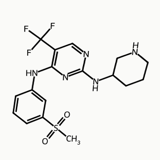 CS(=O)(=O)c1cccc(Nc2nc(NC3CCCNC3)ncc2C(F)(F)F)c1